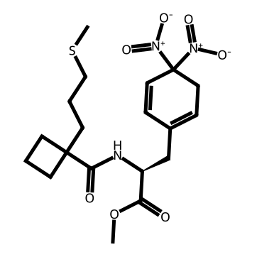 COC(=O)[C@H](CC1=CCC([N+](=O)[O-])([N+](=O)[O-])C=C1)NC(=O)C1(CCCSC)CCC1